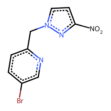 O=[N+]([O-])c1ccn(Cc2ccc(Br)cn2)n1